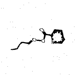 CCCCOOC(=O)c1ccccn1